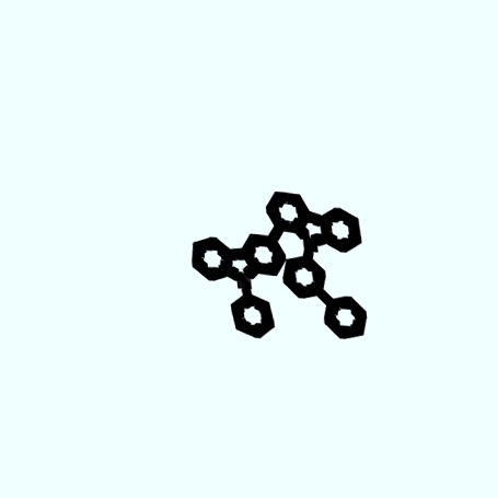 c1ccc(-c2cccc(-n3c4ccccc4c4cccc(-c5ccc6c(c5)c5ccccc5n6-c5ccccc5)c43)c2)cc1